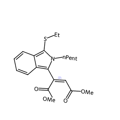 CCCCCn1c(SCC)c2ccccc2c1/C(=C/C(=O)OC)C(=O)OC